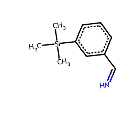 C[Si](C)(C)c1cccc(C=N)c1